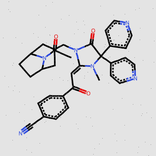 CC(=O)N1C2CCC1CC(CN1C(=O)C(c3ccncc3)(c3ccncc3)N(C)C1=CC(=O)c1ccc(C#N)cc1)C2